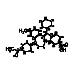 CC(=O)N1CCC(N2CCn3c(c(C4CCCCC4)c4ccc(C(=O)O)cc43)-c3ccc(C)cc32)CC1